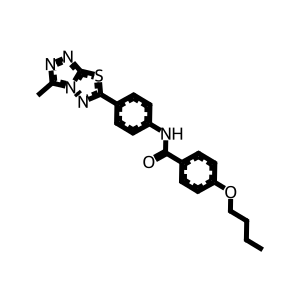 CCCCOc1ccc(C(=O)Nc2ccc(-c3nn4c(C)nnc4s3)cc2)cc1